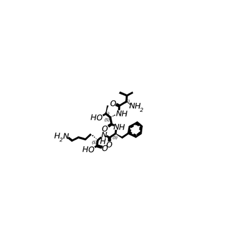 CC(C)[C@H](N)C(=O)N[C@H](C(=O)N[C@@H](Cc1ccccc1)C(=O)N[C@@H](CCCCN)C(=O)O)[C@H](C)O